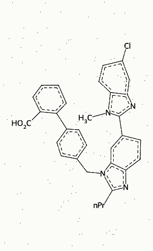 CCCc1nc2ccc(-c3nc4cc(Cl)ccc4n3C)cc2n1Cc1ccc(-c2ccccc2C(=O)O)cc1